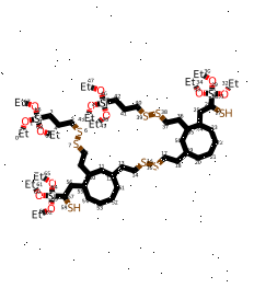 CCO[Si](CCCSSCCC1CC(CCSSCCC2CCCCC(CC(S)[Si](OCC)(OCC)OCC)C(CCSSCCC[Si](OCC)(OCC)OCC)C2)CCCCC1CC(S)[Si](OCC)(OCC)OCC)(OCC)OCC